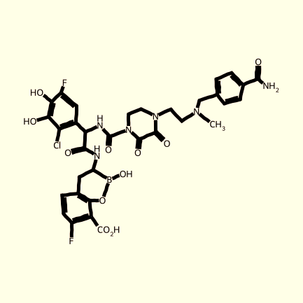 CN(CCN1CCN(C(=O)NC(C(=O)NC2Cc3ccc(F)c(C(=O)O)c3OB2O)c2cc(F)c(O)c(O)c2Cl)C(=O)C1=O)Cc1ccc(C(N)=O)cc1